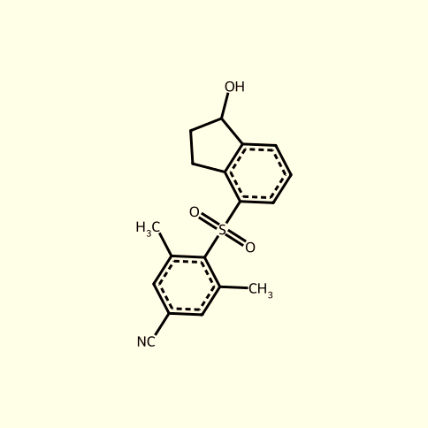 Cc1cc(C#N)cc(C)c1S(=O)(=O)c1cccc2c1CCC2O